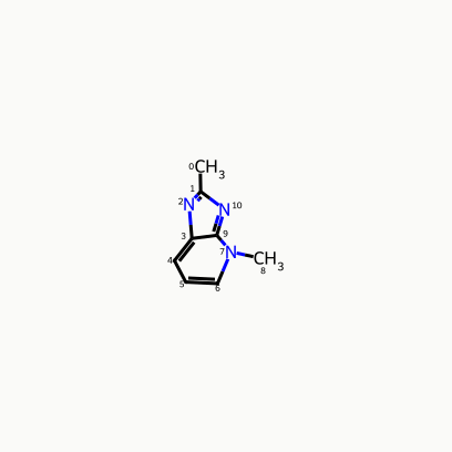 Cc1nc2cccn(C)c-2n1